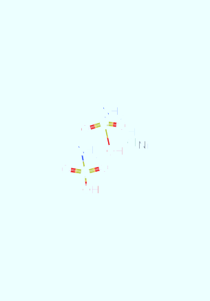 Cl.NS(=O)(=O)O.NS(=O)(=O)O.[Ni]